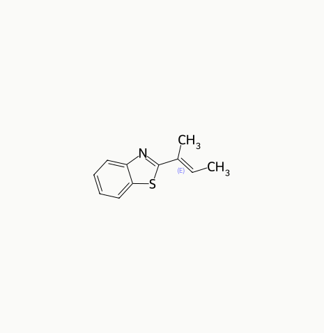 C/C=C(\C)c1nc2ccccc2s1